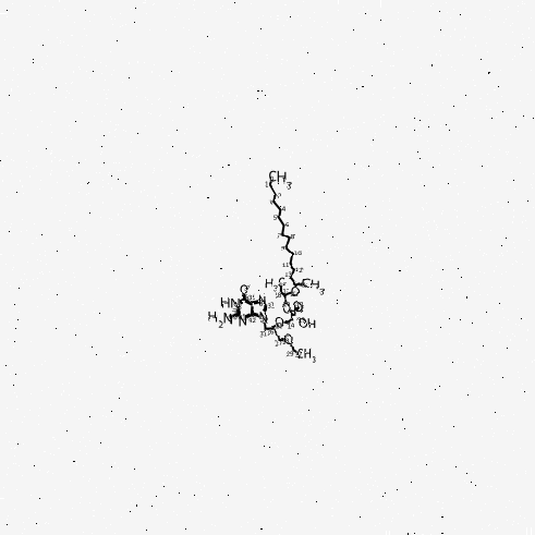 CCCCCCCCCCCCCCC(C)OC(CC)OP(=O)(O)CO[C@@H](COCC)Cn1cnc2c(=O)[nH]c(N)nc21